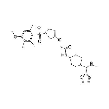 COc1cc(C)c(S(=O)(=O)N2CCC(OCC(=O)NC3CCC(C(c4cccs4)N(C)C)CC3)C2)c(C)c1C